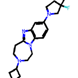 CC1(F)CCN(c2ccc3c(c2)nc2n3CCN(C3CCC3)CC2)C1